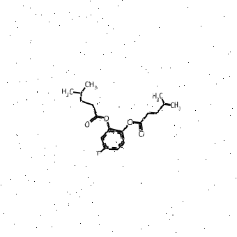 CC(C)CCC(=O)Oc1ccc(F)cc1OC(=O)CCC(C)C